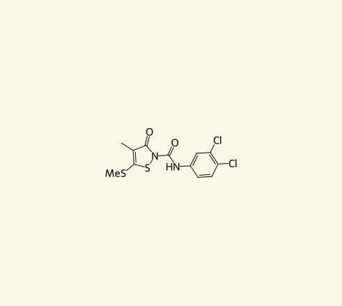 CSc1sn(C(=O)Nc2ccc(Cl)c(Cl)c2)c(=O)c1C